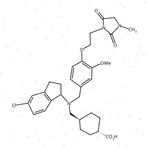 COc1cc(CN(C[C@H]2CC[C@H](C(=O)O)CC2)C2CCc3cc(Cl)ccc32)ccc1OCCN1C(=O)CN(C)C1=O